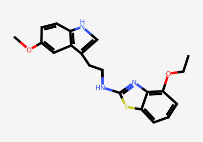 CCOc1cccc2sc(NCCc3c[nH]c4ccc(OC)cc34)nc12